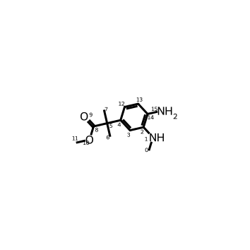 CNc1cc(C(C)(C)C(=O)OC)ccc1N